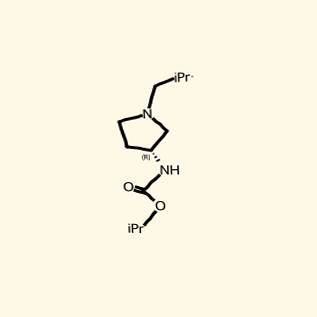 C[C](C)CN1CC[C@@H](NC(=O)OC(C)C)C1